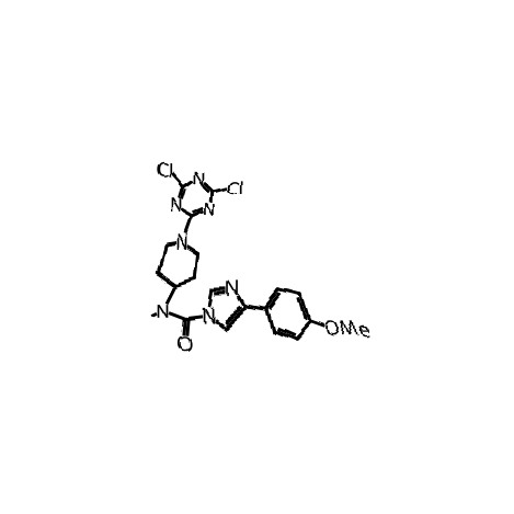 COc1ccc(-c2cn(C(=O)N(C)C3CCN(c4nc(Cl)nc(Cl)n4)CC3)cn2)cc1